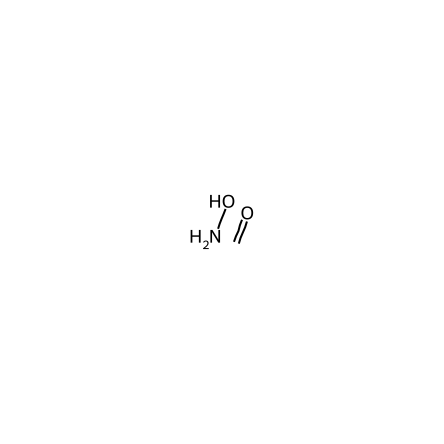 C=O.NO